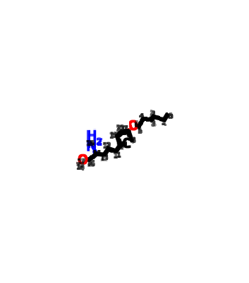 CCCCCCOc1ccc(CCCC(N)COC)cc1